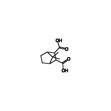 CC1(C)C2CCC1C(C(=O)O)C2C(=O)O